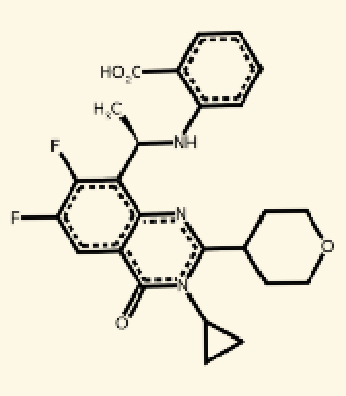 C[C@@H](Nc1ccccc1C(=O)O)c1c(F)c(F)cc2c(=O)n(C3CC3)c(C3CCOCC3)nc12